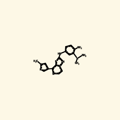 CN(N)c1cc(Nc2nc3c(-c4cnn(C)c4)nccn3n2)ccc1N